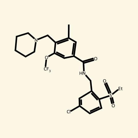 CCS(=O)(=O)c1ccc(Cl)cc1CNC(=O)c1cc(C)c(CN2CCCCC2)c(OC(F)(F)F)c1